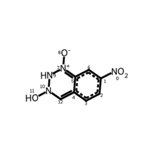 O=[N+]([O-])c1ccc2c(c1)=[N+]([O-])NN(O)C=2